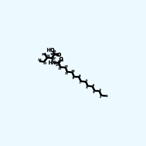 CCCCCCCCCCCCCCC(=O)N[C@@H](C(=O)O)C(C)CC